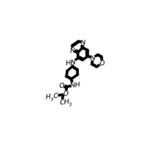 CC(C)OC(=O)NC1CCC(Nc2cc(N3CCOCC3)cc3nccnc23)CC1